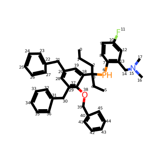 CCCC(CC)(Pc1ccc(F)cc1CN(C)C)c1cc(Cc2ccccc2)cc(Cc2ccccc2)c1OCc1ccccc1